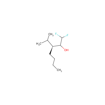 CCCC[C@@H](C(C)C)C(O)C(F)F